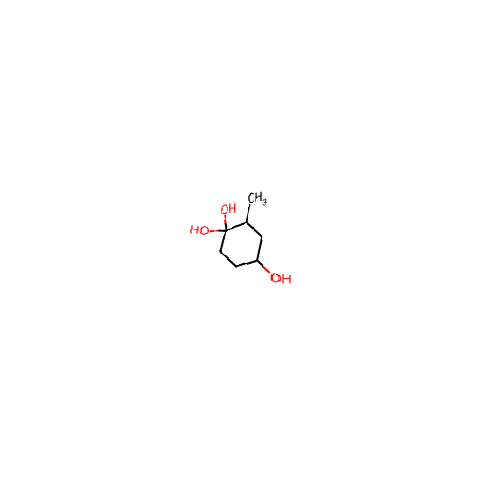 CC1CC(O)CCC1(O)O